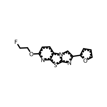 FCCOc1ccc2c(n1)sc1nc(-c3ccco3)cn12